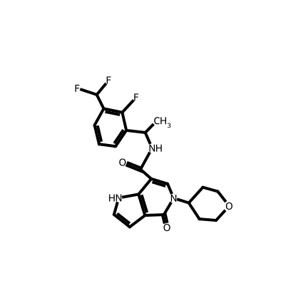 CC(NC(=O)c1cn(C2CCOCC2)c(=O)c2cc[nH]c12)c1cccc(C(F)F)c1F